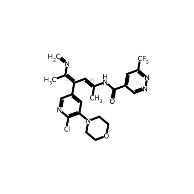 C=N/C(C)=C(\C=C(/C)NC(=O)c1cnnc(C(F)(F)F)c1)c1cnc(Cl)c(N2CCOCC2)c1